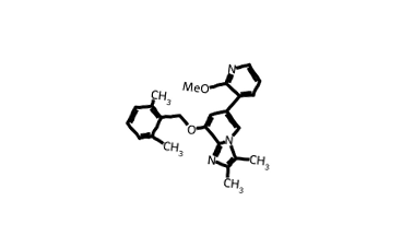 COc1ncccc1-c1cc(OCc2c(C)cccc2C)c2nc(C)c(C)n2c1